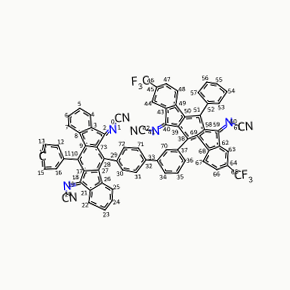 N#C/N=c1\c2ccccc2c2c(-c3ccccc3)c3/c(=N/C#N)c4ccccc4c3c(-c3ccc(-c4cccc(-c5c6/c(=N/C#N)c7cc(C(F)(F)F)ccc7c6c(-c6ccccc6)c6/c(=N/C#N)c7cc(C(F)(F)F)ccc7c56)c4)cc3)c12